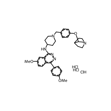 COc1ccc(-c2nnc(NC3CCN(Cc4ccc(OC5CN6CCC5CC6)cc4)CC3)c3cc(OC)ccc23)cc1.Cl.Cl.Cl